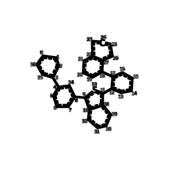 c1ccc(-c2cccc(-c3sc(-c4ccccc4-c4cccc5ccccc45)c4ccccc34)c2)cc1